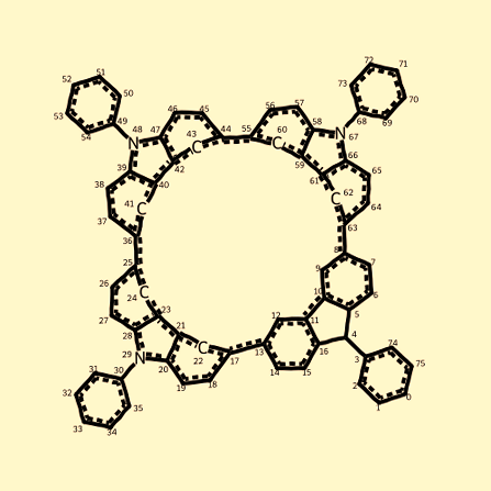 c1ccc(C2c3ccc4cc3c3cc(ccc32)c2ccc3c(c2)c2cc(ccc2n3-c2ccccc2)c2ccc3c(c2)c2cc(ccc2n3-c2ccccc2)c2ccc3c(c2)c2cc4ccc2n3-c2ccccc2)cc1